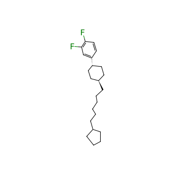 Fc1ccc([C@H]2CC[C@H](CCCCCCC3CCCC3)CC2)cc1F